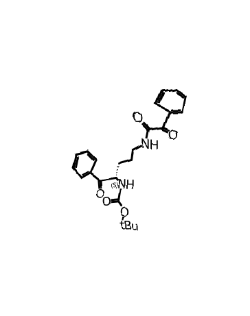 CC(C)(C)OC(=O)N[C@@H](CCCNC(=O)C(=O)c1ccccc1)C(=O)c1ccccc1